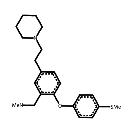 CNCc1cc(CCN2CCCCC2)ccc1Oc1ccc(SC)cc1